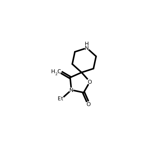 C=C1N(CC)C(=O)OC12CCNCC2